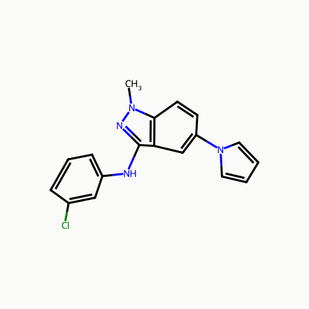 Cn1nc(Nc2cccc(Cl)c2)c2cc(-n3cccc3)ccc21